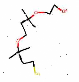 CC(C)(CCS)OCCC(C)(C)OCCO